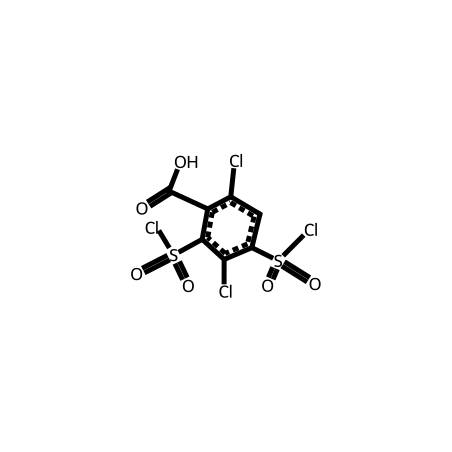 O=C(O)c1c(Cl)cc(S(=O)(=O)Cl)c(Cl)c1S(=O)(=O)Cl